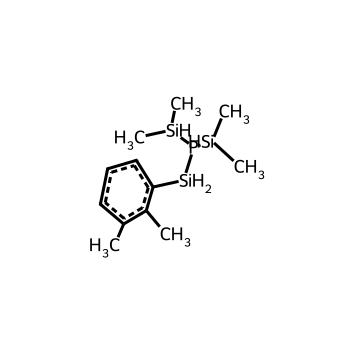 Cc1cccc([SiH2]P([SiH](C)C)[SiH](C)C)c1C